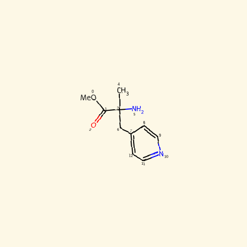 COC(=O)C(C)(N)Cc1ccncc1